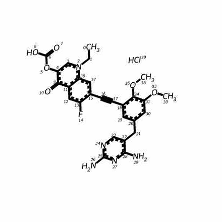 CCn1cc(OC(=O)O)c(=O)c2cc(F)c(C#Cc3cc(Cc4cnc(N)nc4N)cc(OC)c3OC)cc21.Cl